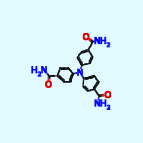 NC(=O)c1ccc(N(c2ccc(C(N)=O)cc2)c2ccc(C(N)=O)cc2)cc1